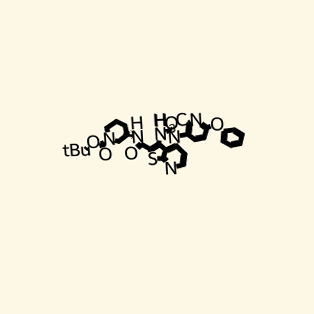 Cc1nc(Oc2ccccc2)ccc1N1C(=O)Nc2c(C(=O)N[C@@H]3CCCN(C(=O)OC(C)(C)C)C3)sc3nccc1c23